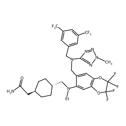 CCN(C[C@H]1CC[C@H](CC(N)=O)CC1)c1cc2c(cc1CN(Cc1cc(C(F)(F)F)cc(C(F)(F)F)c1)c1nnn(C)n1)OC(F)(F)C(F)(F)O2